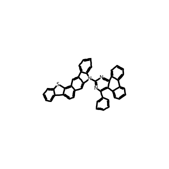 c1ccc(-c2nc(-n3c4ccccc4c4cc5c(ccc6c7ccccc7sc56)cc43)nc3c4ccccc4c4ccccc4c23)cc1